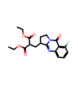 CCOC(=O)C(CC1CCn2c1nc1cccc(F)c1c2=O)C(=O)OCC